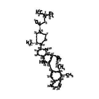 CCN(C)CC(=O)N1CCN(c2ccc3[nH]c(-c4cn5ncnc5c(C)c4C)c(C(C)C)c3n2)[C@H](C)C1